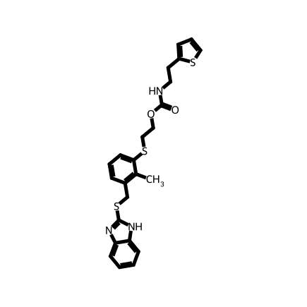 Cc1c(CSc2nc3ccccc3[nH]2)cccc1SCCOC(=O)NCCc1cccs1